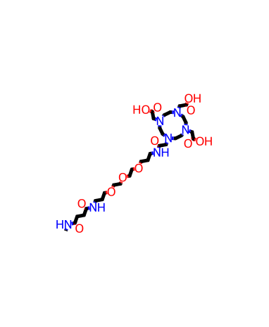 CNC(=O)CCC(=O)NCCCOCCOCCOCCCNC(=O)CN1CCN(CC(=O)O)CCN(CC(=O)O)CCN(CC(=O)O)CC1